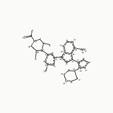 CC(=O)N1CC(C)N(c2cc(F)cc(-c3cc(-c4ccnn4C4CCOCC4)c4c(N)ncnn34)c2)C(C)C1